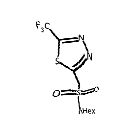 CCCCCCS(=O)(=O)c1nnc(C(F)(F)F)s1